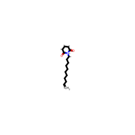 C=CCCCCCCCCCN1C(=O)CCCC1=O